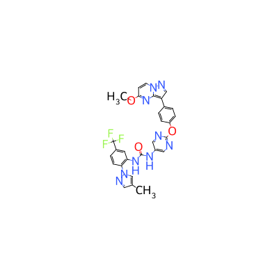 COc1ccn2ncc(-c3ccc(Oc4ncc(NC(=O)Nc5cc(C(F)(F)F)ccc5-n5cc(C)cn5)cn4)cc3)c2n1